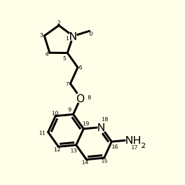 CN1CCCC1CCOc1cccc2ccc(N)nc12